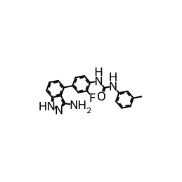 Cc1cccc(NC(=O)Nc2ccc(-c3cccc4[nH]nc(N)c34)cc2F)c1